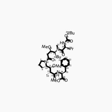 CC[C@H](C)[C@@H]([C@@H](CC(=O)N1CCC[C@H]1[C@H](OC)[C@@H](C)C(=O)N[C@@H](Cc1ccccc1)C(=O)OC)OC)N(C)C(=O)[C@@H](NC(=O)OC(C)(C)C)C(C)C